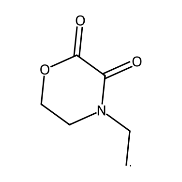 [CH2]CN1CCOC(=O)C1=O